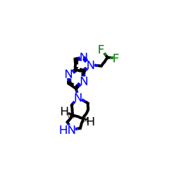 FC(F)Cn1ncc2ncc(N3CC[C@@H]4CNC[C@@H]4C3)nc21